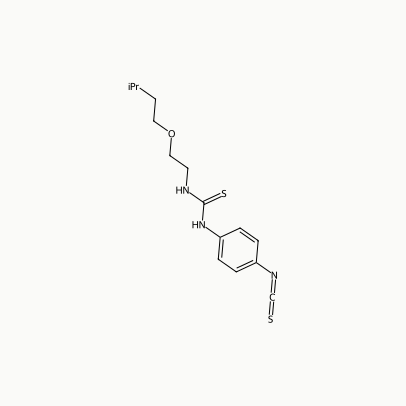 CC(C)CCOCCNC(=S)Nc1ccc(N=C=S)cc1